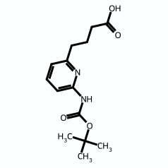 CC(C)(C)OC(=O)Nc1cccc(CCCC(=O)O)n1